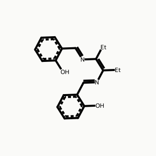 CCC(N=Cc1ccccc1O)=C(CC)N=Cc1ccccc1O